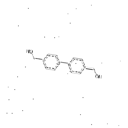 OC=c1ccc(=c2ccc(=CO)cc2)cc1